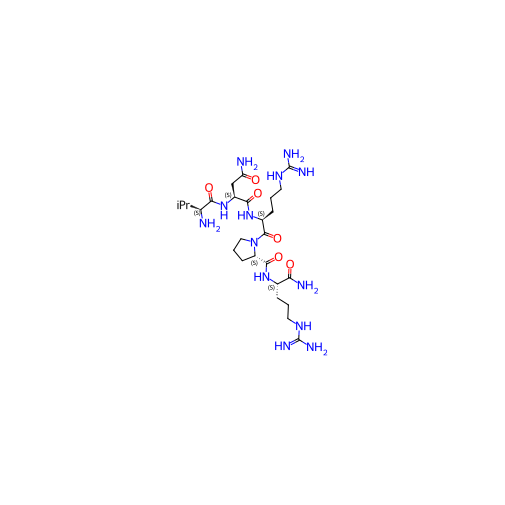 CC(C)[C@H](N)C(=O)N[C@@H](CC(N)=O)C(=O)N[C@@H](CCCNC(=N)N)C(=O)N1CCC[C@H]1C(=O)N[C@@H](CCCNC(=N)N)C(N)=O